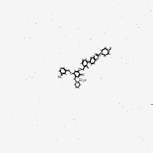 Cc1c(COc2cc(OCc3cncc(C#N)c3)c(CN3CCCC[C@H]3C(=O)O)cc2Cl)cccc1-c1ccc2oc(N3CCN(C)CC3)nc2c1